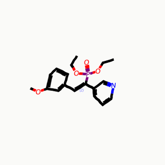 CCOP(=O)(OCC)/C(=C\c1cccc(OC)c1)c1cccnc1